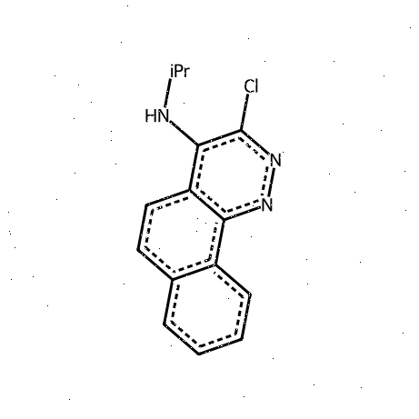 CC(C)Nc1c(Cl)nnc2c1ccc1ccccc12